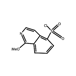 COc1nccc2c(S(=O)(=O)Cl)cccc12